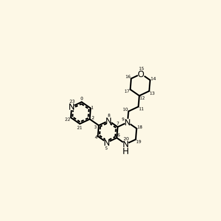 c1cc(-c2cnc3c(n2)N(CCC2CCOCC2)CCN3)ccn1